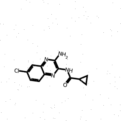 Nc1nc2cc(Cl)ccc2nc1NC(=O)C1CC1